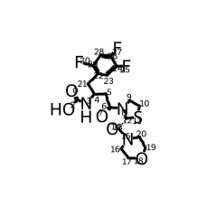 O=C(O)NC(CC(=O)N1CCS[C@@H]1C(=O)N1CCOCC1)Cc1cc(F)c(F)cc1F